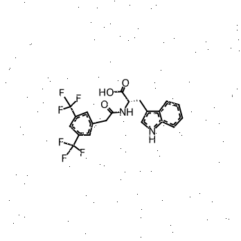 O=C(Cc1cc(C(F)(F)F)cc(C(F)(F)F)c1)N[C@@H](Cc1c[nH]c2ccccc12)C(=O)O